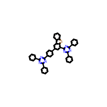 c1ccc(-c2nc(-c3ccccc3)nc(-c3ccc(-c4cc(-c5nc(-c6ccccc6)nc(-c6ccccc6)n5)c5sc6ccccc6c5c4)cc3)n2)cc1